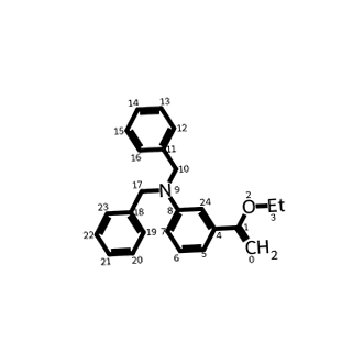 C=C(OCC)c1cccc(N(Cc2ccccc2)Cc2ccccc2)c1